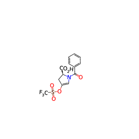 O=C(O)[C@@H]1CC(OS(=O)(=O)C(F)(F)F)=CN1C(=O)c1ccccc1